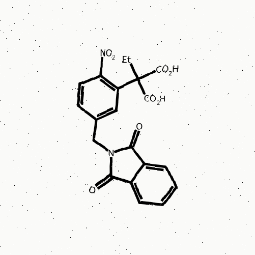 CCC(C(=O)O)(C(=O)O)c1cc(CN2C(=O)c3ccccc3C2=O)ccc1[N+](=O)[O-]